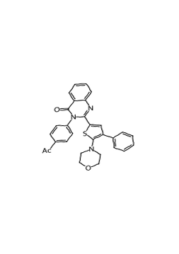 CC(=O)c1ccc(-n2c(-c3cc(-c4ccccc4)c(N4CCOCC4)s3)nc3ccccc3c2=O)cc1